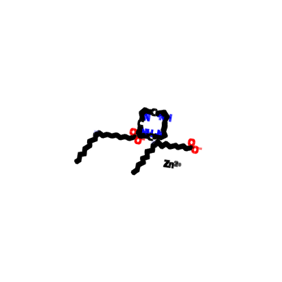 C1=Cc2cc3ccc(cc4nc(cc5ccc(cc1n2)[nH]5)CC4)[nH]3.CCCCCCCC/C=C\CCCCCCCC(=O)[O-].CCCCCCCC/C=C\CCCCCCCC(=O)[O-].[Zn+2]